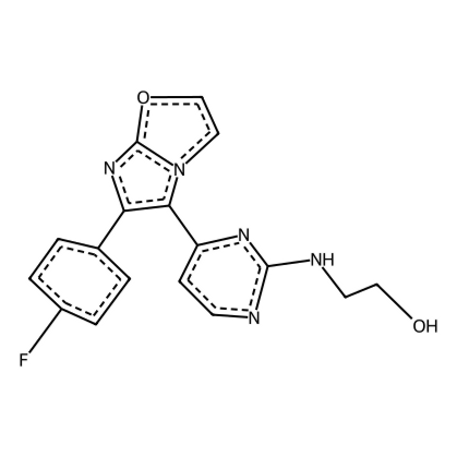 OCCNc1nccc(-c2c(-c3ccc(F)cc3)nc3occn23)n1